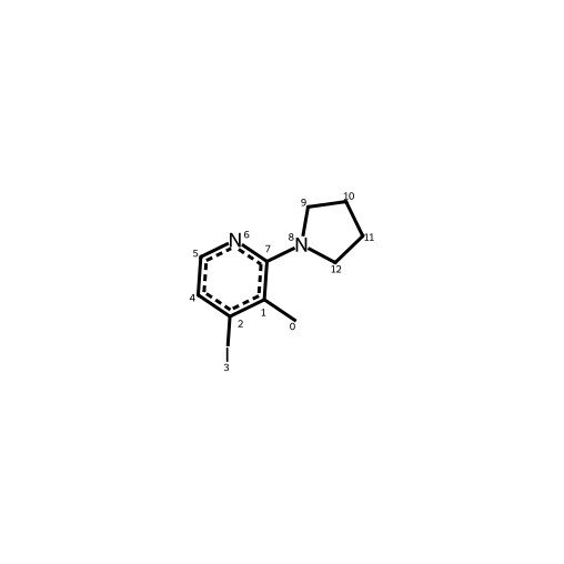 Cc1c(I)ccnc1N1CCCC1